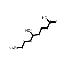 C=C(O)/C=C/CC(O)CCCCCCCCC